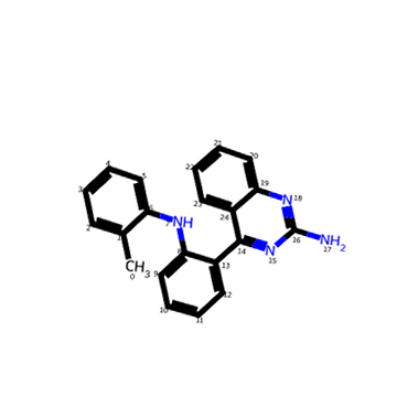 Cc1ccccc1Nc1ccccc1-c1nc(N)nc2ccccc12